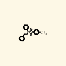 Cc1ccc(S(=O)(=O)N(CCc2ccccc2)c2ccccc2)cc1